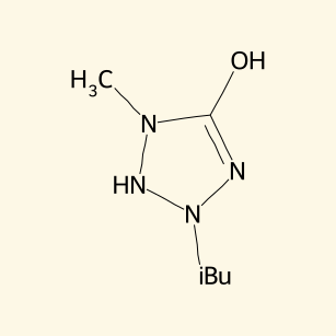 CCC(C)N1N=C(O)N(C)N1